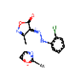 CC(=O)c1ncco1.CC1=NOC(=O)/C1=N/Nc1ccccc1Cl